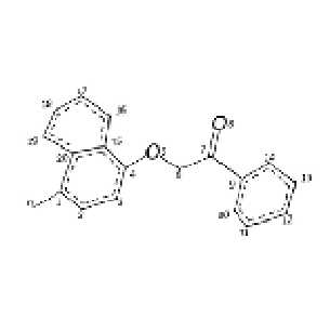 Cc1ccc(OCC(=O)c2ccccc2)c2ccccc12